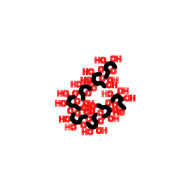 OCC1OC(OC2C(CO)OC(OC3C(CO)OC(OC4C(CO)OC(OC5C(CO)OC(OC6C(CO)OC(OC7C(CO)OC(OC8C(CO)OCC(O)C8O)C(O)C7O)C(O)C6O)C(O)C5O)C(O)C4O)C(O)C3O)C(O)C2O)C(O)C(O)C1O